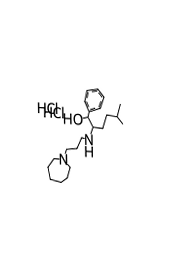 CC(C)CCC(NCCCN1CCCCCC1)C(O)c1ccccc1.Cl.Cl